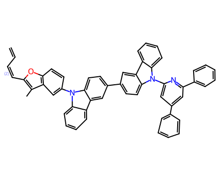 C=C/C=C\c1oc2ccc(-n3c4ccccc4c4cc(-c5ccc6c(c5)c5ccccc5n6-c5cc(-c6ccccc6)cc(-c6ccccc6)n5)ccc43)cc2c1C